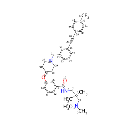 CN(C)CC(C)(C)CNC(=O)c1cccc(OC2CCN(Cc3cccc(C#Cc4ccc(C(F)(F)F)cc4)c3)CC2)c1